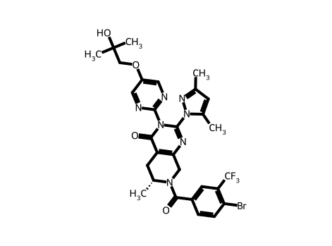 Cc1cc(C)n(-c2nc3c(c(=O)n2-c2ncc(OCC(C)(C)O)cn2)C[C@@H](C)N(C(=O)c2ccc(Br)c(C(F)(F)F)c2)C3)n1